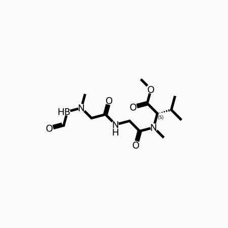 COC(=O)[C@H](C(C)C)N(C)C(=O)CNC(=O)CN(C)BC=O